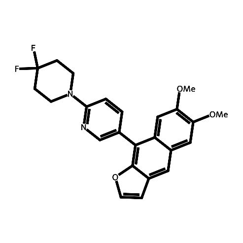 COc1cc2cc3ccoc3c(-c3ccc(N4CCC(F)(F)CC4)nc3)c2cc1OC